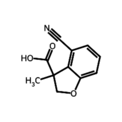 CC1(C(=O)O)COc2cccc(C#N)c21